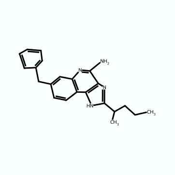 CCCC(C)c1nc2c(N)nc3cc(Cc4ccccc4)ccc3c2[nH]1